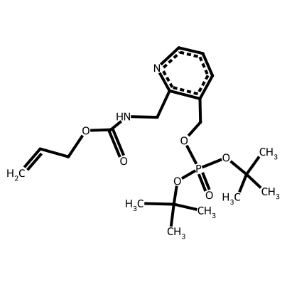 C=CCOC(=O)NCc1ncccc1COP(=O)(OC(C)(C)C)OC(C)(C)C